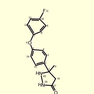 CC1(c2ccc(Oc3ccc(F)cc3)cc2)CC(=O)NN1